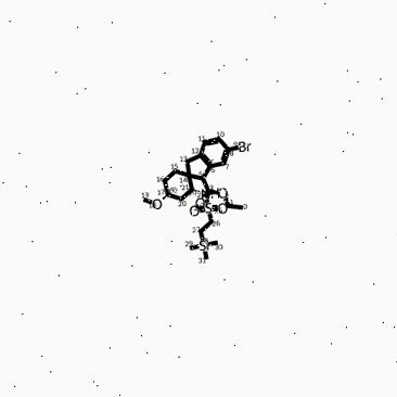 CCOC(=O)C1c2cc(Br)ccc2CC12CC[C@@H](OC)C[C@H]2NS(=O)(=O)CC[Si](C)(C)C